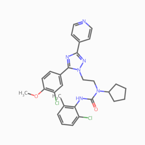 COc1ccc(-c2nc(-c3ccncc3)nn2CCN(C(=O)Nc2c(C)cccc2Cl)C2CCCC2)cc1Cl